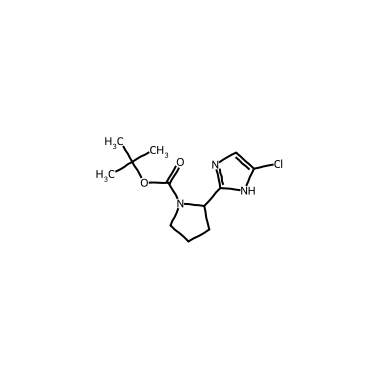 CC(C)(C)OC(=O)N1CCCC1c1ncc(Cl)[nH]1